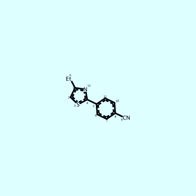 CCc1csc(-c2ccc(C#N)cc2)n1